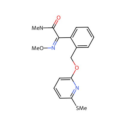 CNC(=O)C(=NOC)c1ccccc1COc1cccc(SC)n1